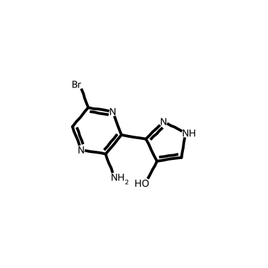 Nc1ncc(Br)nc1-c1n[nH]cc1O